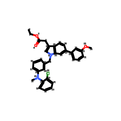 CCOC(=O)Cc1cn(Cc2cccc(N(C)c3ccccc3Cl)c2)c2cc(-c3cccc(OC)c3)ccc12